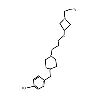 CCN1CC(OCCCN2CCN(Cc3ccc(C)cc3)CC2)C1